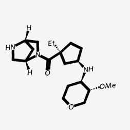 CC[C@]1(C(=O)N2C[C@@H]3C[C@H]2CN3)CC[C@@H](N[C@@H]2CCOC[C@H]2OC)C1